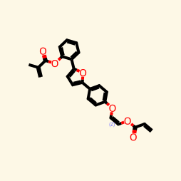 C=CC(=O)O/C=C\Oc1ccc(-c2ccc(-c3ccccc3OC(=O)C(=C)C)o2)cc1